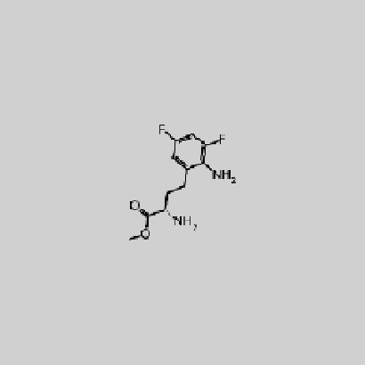 COC(=O)[C@@H](N)CCc1cc(F)cc(F)c1N